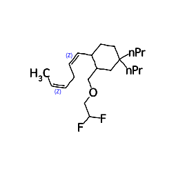 C/C=C\C/C=C\C1CCC(CCC)(CCC)CC1COCC(F)F